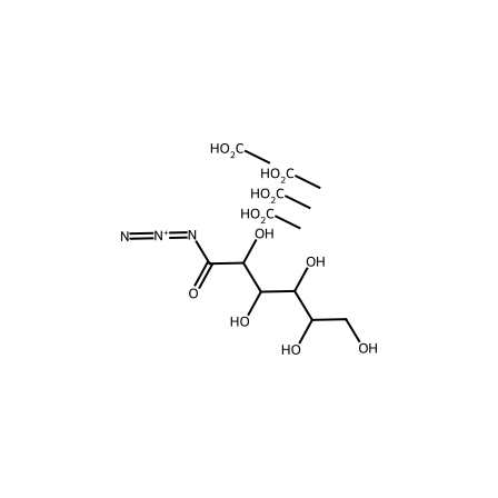 CC(=O)O.CC(=O)O.CC(=O)O.CC(=O)O.[N-]=[N+]=NC(=O)C(O)C(O)C(O)C(O)CO